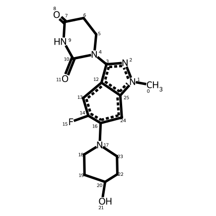 Cn1nc(N2CCC(=O)NC2=O)c2cc(F)c(N3CCC(O)CC3)cc21